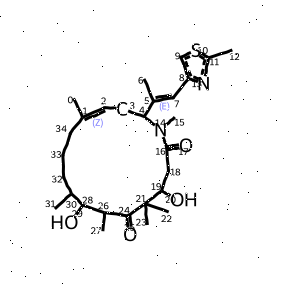 C/C1=C/CC(/C(C)=C/c2csc(C)n2)N(C)C(=O)CC(O)C(C)(C)C(=O)C(C)C(O)C(C)CCC1